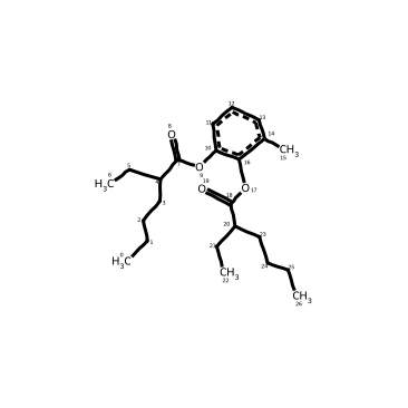 CCCCC(CC)C(=O)Oc1cccc(C)c1OC(=O)C(CC)CCCC